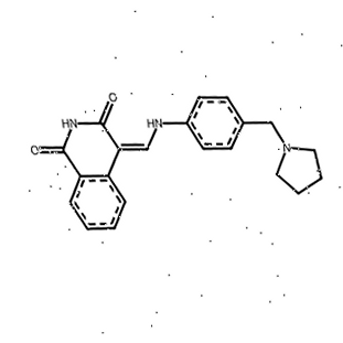 O=C1NC(=O)c2ccccc2/C1=C/Nc1ccc(CN2CCCC2)cc1